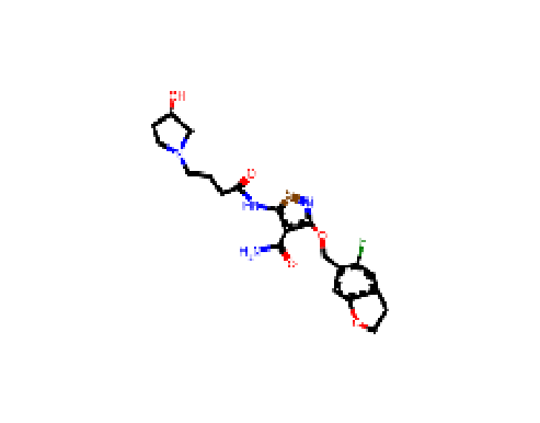 NC(=O)c1c(OCc2cc3c(cc2F)CCO3)nsc1NC(=O)CCCN1CC[C@@H](O)C1